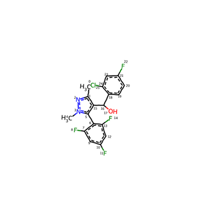 Cc1nn(C)c(-c2c(F)cc(F)cc2F)c1C(O)c1ccc(F)cc1Cl